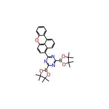 CC1(C)OB(c2nc(B3OC(C)(C)C(C)(C)O3)nc(-c3ccc4c5c(cccc35)-c3ccccc3O4)n2)OC1(C)C